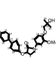 COc1cc(N2CCC(Oc3ccc(-c4ccccc4)cc3)C2=O)ccc1OCC(C)(C)O